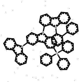 c1ccc(-c2ccccc2-n2c3ccccc3c3cccc(-n4c5ccc(-n6c7ccccc7c7ccccc76)cc5c5cc([Si](c6ccccc6)(c6ccccc6)c6ccccc6)ccc54)c32)cc1